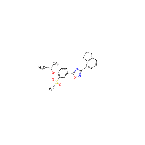 CC(C)Oc1ccc(-c2nc(-c3cccc4c3CCC4)no2)cc1S(C)(=O)=O